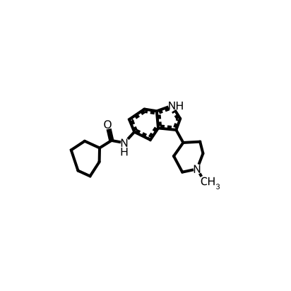 CN1CCC(c2c[nH]c3ccc(NC(=O)C4CCCCC4)cc23)CC1